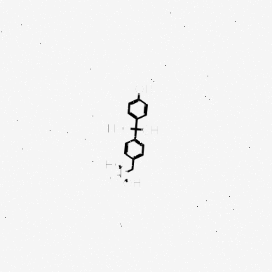 CC(C)(c1ccc(O)cc1)c1ccc(CP(=O)(O)O)cc1